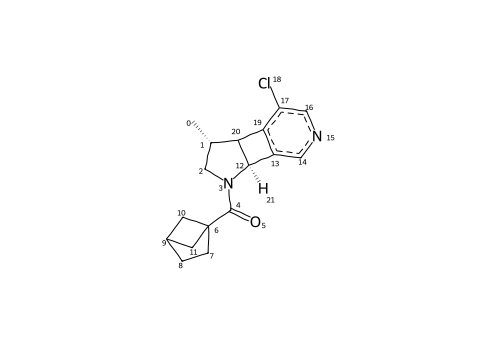 C[C@H]1CN(C(=O)C23CCC(C2)C3)[C@@H]2c3cncc(Cl)c3C21